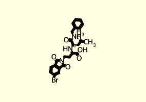 CC(C)C[C@@H](NC(CCN1C(=O)c2ccc(Br)cc2C1=O)C(=O)O)C(=O)NCc1ccccc1